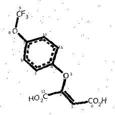 O=C(O)/C=C(\Oc1ccc(OC(F)(F)F)cc1)C(=O)O